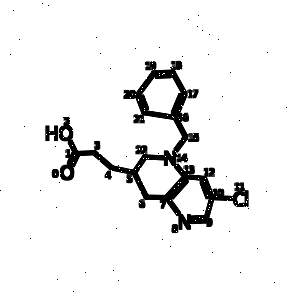 O=C(O)CCC1Cc2ncc(Cl)cc2N(Cc2ccccc2)C1